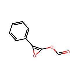 O=COC1=C(c2ccccc2)O1